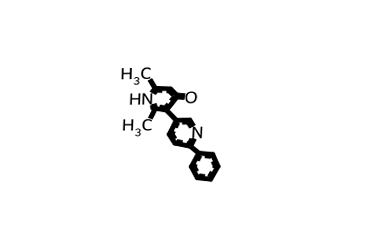 Cc1cc(=O)c(-c2ccc(-c3ccccc3)nc2)c(C)[nH]1